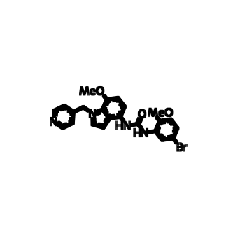 COc1ccc(Br)cc1NC(=O)Nc1ccc(OC)c2c1ccn2Cc1ccncc1